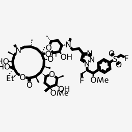 CC[C@H]1OC(=O)[C@H](C)[C@@H](C2C[C@@](C)(OC)[C@@H](O)[C@H](C)O2)[C@H](C)[C@@H](O[C@@H]2O[C@H](C)C[C@H](N(C)CCc3cn([C@H](CF)[C@H](OC)c4ccc(S(=O)(=O)CF)cc4)nn3)[C@H]2O)[C@](C)(O)C[C@@H](C)CN(C)[C@H](C)[C@@H](O)[C@]1(C)O